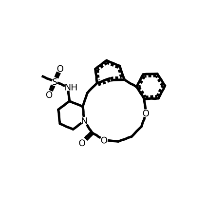 CS(=O)(=O)NC1CCCN2C(=O)OCCCOc3ccccc3-c3cccc(c3)CC12